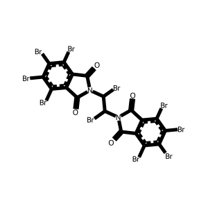 O=C1c2c(Br)c(Br)c(Br)c(Br)c2C(=O)N1C(Br)C(Br)N1C(=O)c2c(Br)c(Br)c(Br)c(Br)c2C1=O